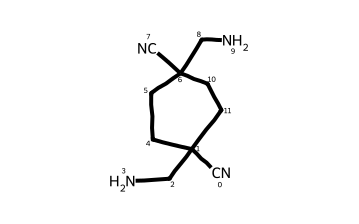 N#CC1(CN)CCC(C#N)(CN)CC1